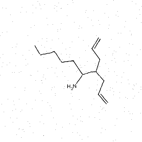 C=CCC(CC=C)C(N)CCCCC